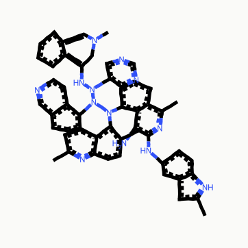 Cc1ccc2c(N(c3cccc4c(C)nc(Nc5ccc6[nH]c(C)cc6c5)c(N)c34)N(c3cccc4cnccc34)N(NC3=c4ccccc4=CN(C)C3)c3cncnc3)c(C)ccc2n1